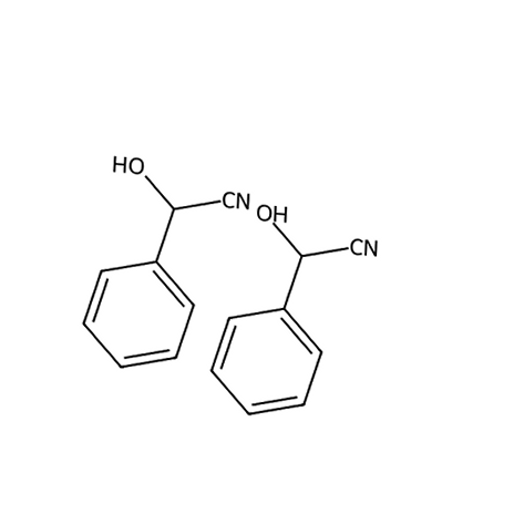 N#CC(O)c1ccccc1.N#CC(O)c1ccccc1